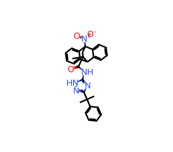 CC(C)(c1ccccc1)c1n[nH]c(NC(=O)C2(C)CC3([N+](=O)[O-])c4ccccc4C2c2ccccc23)n1